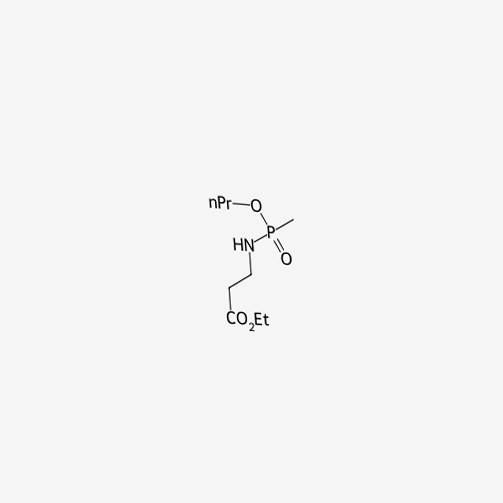 CCCOP(C)(=O)NCCC(=O)OCC